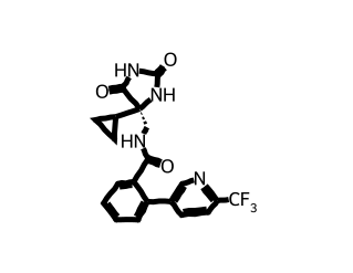 O=C1NC(=O)[C@](CNC(=O)c2ccccc2-c2ccc(C(F)(F)F)nc2)(C2CC2)N1